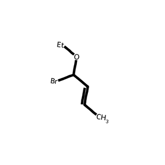 [CH2]COC(Br)C=CC